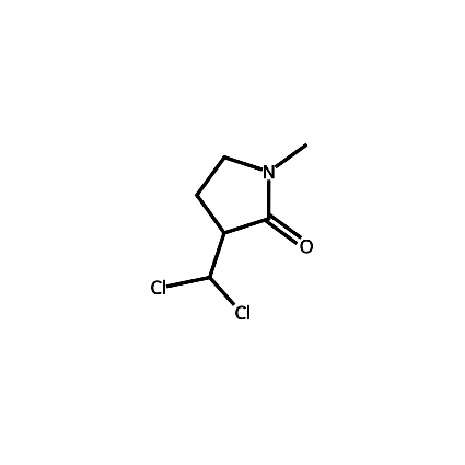 CN1CCC(C(Cl)Cl)C1=O